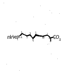 CCCCCCCCCCCCCCC(C)C(=O)O